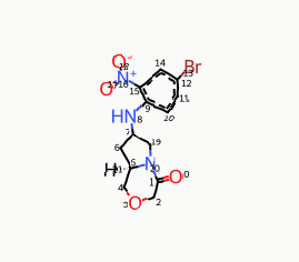 O=C1COC[C@H]2CC(Nc3ccc(Br)cc3[N+](=O)[O-])CN12